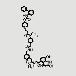 CC(Cc1cc(CNC(=O)Cc2ccc(N(C)C(=O)CCN3CCC(OC(=O)Nc4ccccc4-c4ccccc4)CC3)cc2)ccc1F)NC[C@H](O)c1ccc(O)c2c1C=CC(O)N2